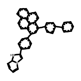 C1=CC2NC(c3ccc(-c4cc(-c5ccc(-c6ccccc6)cc5)c5ccc6cccc7ccc4c5c76)cc3)=CN2C=C1